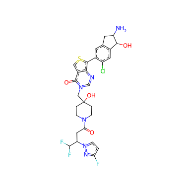 NC1Cc2cc(-c3scc4c(=O)n(CC5(O)CCN(C(=O)CC(C(F)F)n6ccc(F)n6)CC5)cnc34)c(Cl)cc2C1O